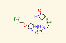 CC(C(=O)Nc1ccc(OCC2CC2(F)F)cn1)N1CCC(F)(F)[C@@H](c2ccc(=O)[nH]c2)C1